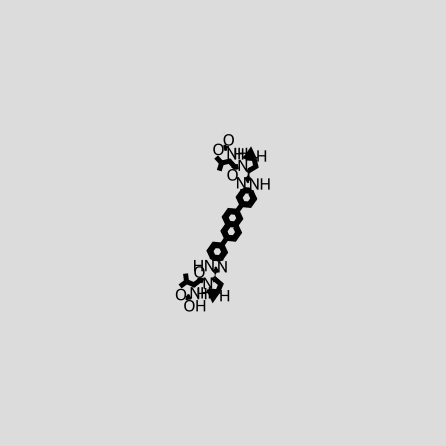 COC(=O)N[C@H](C(=O)N1[C@@H]2C[C@H]2C[C@H]1c1nc2cc(-c3ccc4cc(-c5ccc6[nH]c([C@@H]7C[C@H]8C[C@H]8N7C(=O)[C@@H](NC(=O)O)C(C)C)nc6c5)ccc4c3)ccc2[nH]1)C(C)C